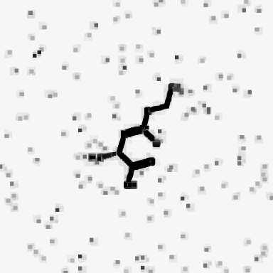 CCO[P+]([O-])=N[C@@H](C)C(=O)O